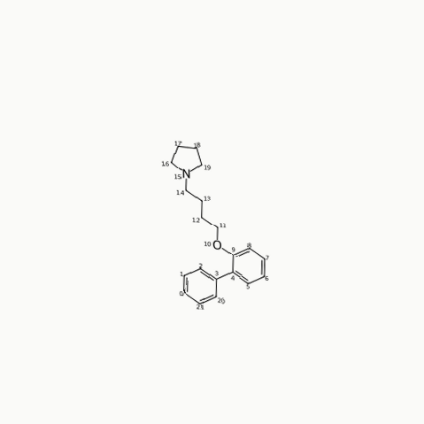 c1ccc(-c2ccccc2OCCCCN2CCCC2)cc1